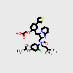 CC(C)CC[N+](C=O)(CC1N=C2C=CC=CN2C1Cc1cc(-c2ccsc2)ccc1OCC(=O)O)c1ccc(OC(C)C)cc1Cl